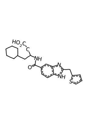 O=C(O)CC(CC1CCCCC1)NC(=O)c1ccc2[nH]c(Cc3cccs3)nc2c1